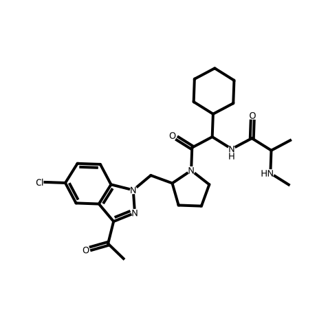 CNC(C)C(=O)NC(C(=O)N1CCCC1Cn1nc(C(C)=O)c2cc(Cl)ccc21)C1CCCCC1